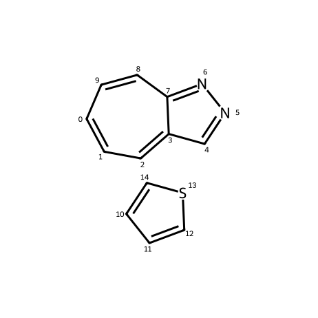 c1ccc2cnnc-2cc1.c1ccsc1